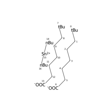 CC(C)(C)CCCCCC(=O)[O-].CC(C)(C)CCCCCC(=O)[O-].CCC[CH2][Sn+2][CH2]CCC